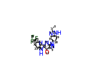 CCc1nc2cc(-n3ncc(C(=O)c4cc5cc(C(F)(F)F)ccc5[nH]4)c3N)ccc2[nH]1